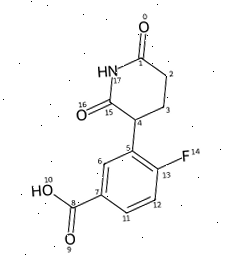 O=C1CCC(c2cc(C(=O)O)ccc2F)C(=O)N1